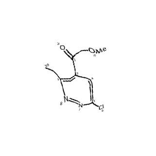 COC(=O)c1cc(Cl)nnc1C